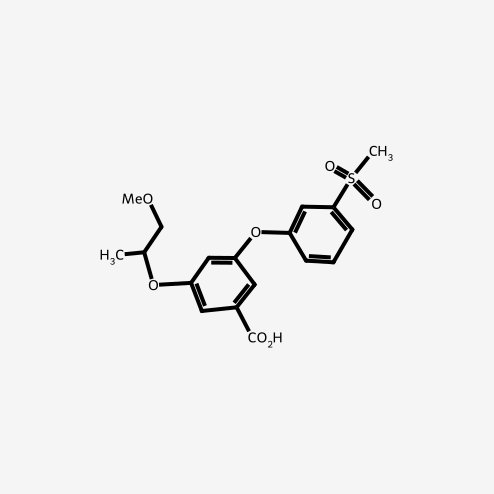 COCC(C)Oc1cc(Oc2cccc(S(C)(=O)=O)c2)cc(C(=O)O)c1